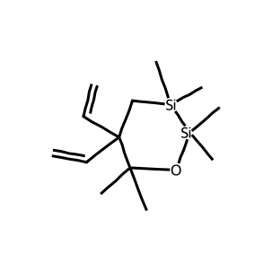 C=CC1(C=C)C[Si](C)(C)[Si](C)(C)OC1(C)C